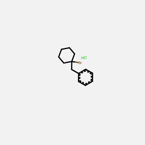 BrC1(Cc2ccccc2)CCCCC1.Cl